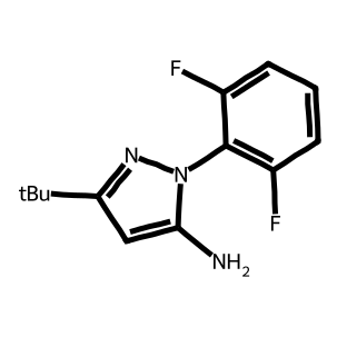 CC(C)(C)c1cc(N)n(-c2c(F)cccc2F)n1